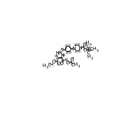 CCOC(=O)c1cnc(Sc2ccc(N3CCN(C(=O)OC(C)(C)C)CC3)cc2)nc1C(=O)COC(C)=O